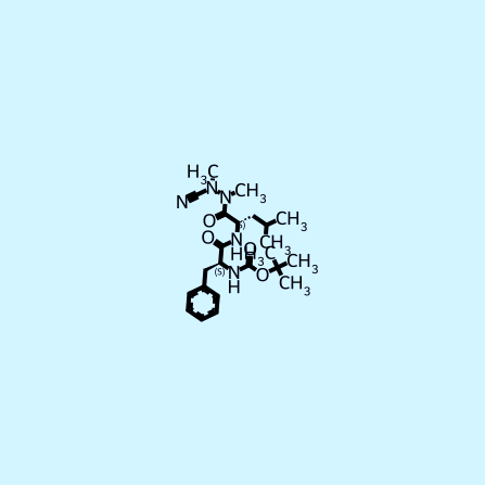 CC(C)C[C@H](NC(=O)[C@H](Cc1ccccc1)NC(=O)OC(C)(C)C)C(=O)N(C)N(C)C#N